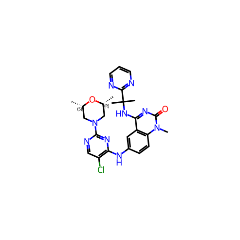 C[C@@H]1CN(c2ncc(Cl)c(Nc3ccc4c(c3)c(NC(C)(C)c3ncccn3)nc(=O)n4C)n2)C[C@H](C)O1